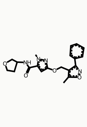 Cc1onc(-c2ccccc2)c1COc1cc(C(=O)NC2CCOC2)n(C)n1